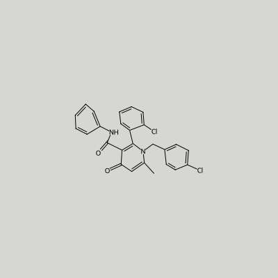 Cc1cc(=O)c(C(=O)Nc2ccccc2)c(-c2ccccc2Cl)n1Cc1ccc(Cl)cc1